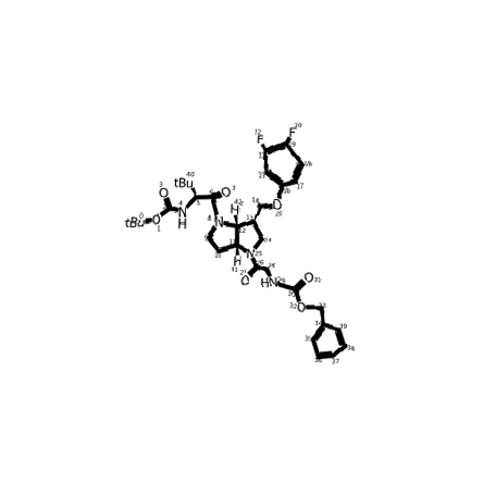 CC(C)(C)OC(=O)N[C@H](C(=O)N1CC[C@@H]2[C@H]1[C@@H](COc1ccc(F)c(F)c1)CN2C(=O)CNC(=O)OCc1ccccc1)C(C)(C)C